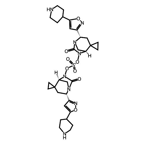 O=C1N2C[C@H](N1OS(=O)(=O)ON1C(=O)N3C[C@H]1C1(CC1)C[C@H]3c1cc(C3CCNCC3)on1)C1(CC1)C[C@H]2c1cc(C2CCNCC2)on1